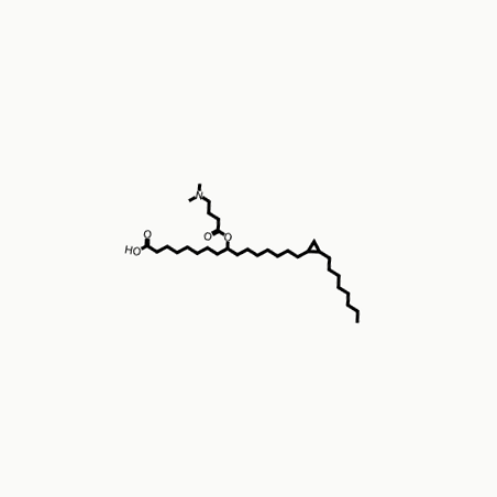 CCCCCCCCC1CC1CCCCCCCC(CCCCCCCC(=O)O)OC(=O)CCCN(C)C